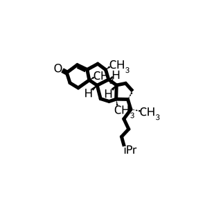 CC(C)CCC[C@@H](C)[C@H]1CC[C@H]2[C@@H]3[C@@H](C)CC4=CC(=O)CC[C@]4(C)[C@H]3CC[C@]12C